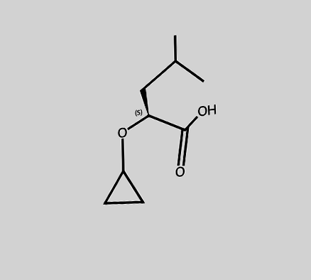 CC(C)C[C@H](OC1CC1)C(=O)O